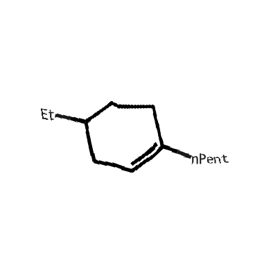 [CH2]CCCCC1=CCC(CC)CC1